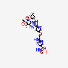 CC(=O)c1c(C)c2cnc(Nc3ccc(OCCNc4ncc(C(=O)NO)cn4)cn3)nc2n(C2CCCC2)c1=O